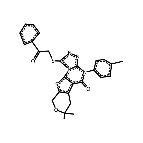 Cc1ccc(-n2c(=O)c3c4c(sc3n3c(SCC(=O)c5ccccc5)nnc23)COC(C)(C)C4)cc1